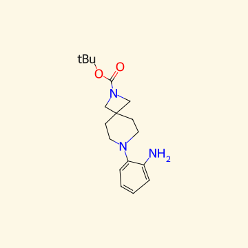 CC(C)(C)OC(=O)N1CC2(CCN(c3ccccc3N)CC2)C1